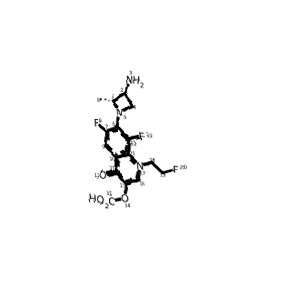 C[C@@H]1[C@@H](N)CN1c1c(F)cc2c(=O)c(OC(=O)O)cn(CCF)c2c1F